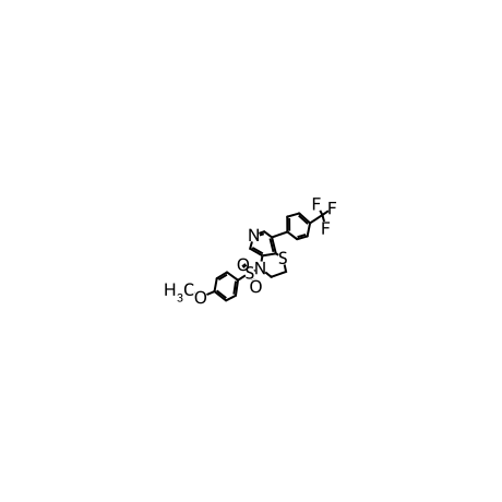 COc1ccc(S(=O)(=O)N2CCSc3c(-c4ccc(C(F)(F)F)cc4)cncc32)cc1